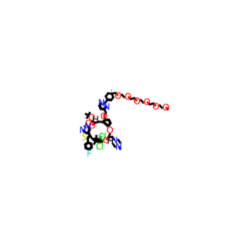 COCCOCCOCCOCCOCCOC[C@@]1(C)CC=C(c2nccc(COc3ccc4cc3C[C@H](C(=O)OC(C)(C)C)Oc3ncnc5sc(-c6ccc(F)cc6)c(c35)-c3c(C)c(Cl)c(c(Cl)c3C)O[C@H](CN3CCN(C)CC3)CO4)n2)CC1